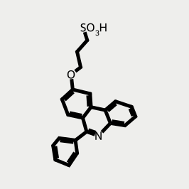 O=S(=O)(O)CCCOc1ccc2c(-c3ccccc3)nc3ccccc3c2c1